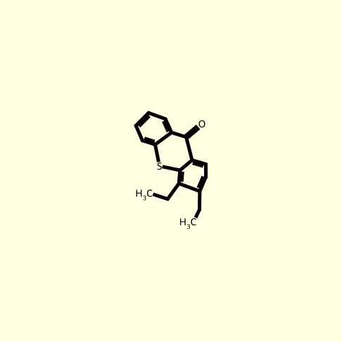 CCc1ccc2c(=O)c3ccccc3sc2c1CC